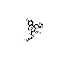 C=C(/C(F)=C\N=C/N)[C@H](C)[C@@](O)(Cn1cncn1)c1ccc(F)cc1F